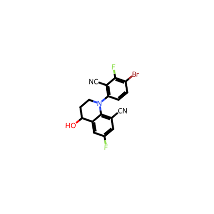 N#Cc1cc(F)cc2c1N(c1ccc(Br)c(F)c1C#N)CCC2O